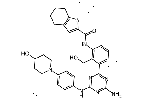 Nc1nc(Nc2ccc(N3CCC(O)CC3)cc2)nc(-c2cccc(NC(=O)c3cc4c(s3)CCCC4)c2CO)n1